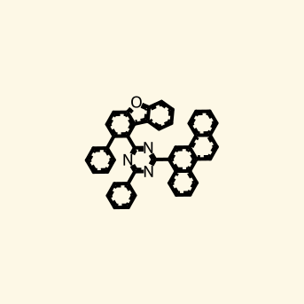 c1ccc(-c2nc(-c3cc4c5ccccc5ccc4c4ccccc34)nc(-c3c(-c4ccccc4)ccc4oc5ccccc5c34)n2)cc1